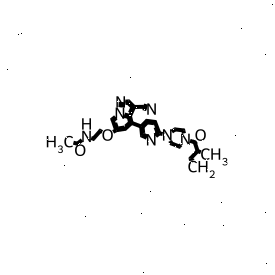 C=CC(C)C(=O)N1CCN(c2ccc(-c3cc(OCCNC(C)=O)cn4ncc(C#N)c34)cn2)CC1